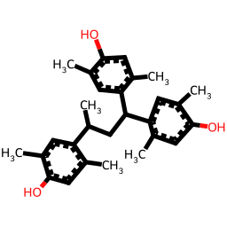 Cc1cc(C(C)CC(c2cc(C)c(O)cc2C)c2cc(C)c(O)cc2C)c(C)cc1O